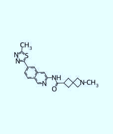 Cc1nnc(-c2ccc3cnc(NC(=O)C4CC5(C4)CN(C)C5)cc3c2)s1